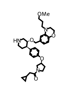 COCCCN1CCOc2ccc(CO[C@H]3CNCC[C@@H]3c3ccc(O[C@H]4CCN(C(=O)CC5CC5)C4)cc3)cc21